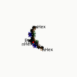 CCCCCCc1ccc(-c2ccc(-c3cc(F)c(-c4cc5c(s4)-c4sc(-c6c(F)c(F)c(-c7ccc(-c8ccc(CCCCCC)s8)s7)c7nsnc67)cc4[Si]5(CC(CC)CCCCCC)CC(CC)CCCCCC)c4nsnc34)s2)s1